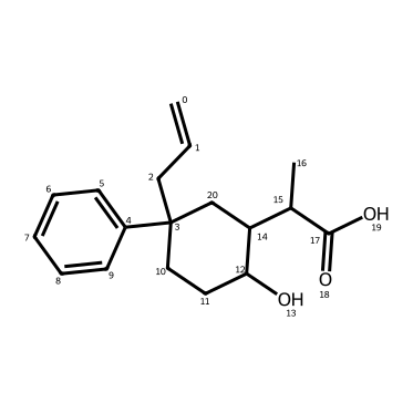 C=CCC1(c2ccccc2)CCC(O)C(C(C)C(=O)O)C1